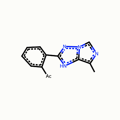 CC(=O)c1ccccc1-c1nn2cnc(C)c2[nH]1